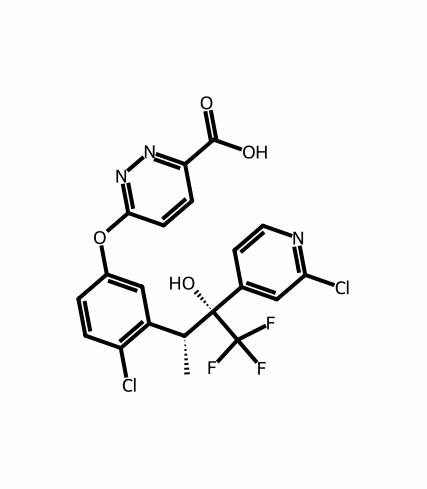 C[C@H](c1cc(Oc2ccc(C(=O)O)nn2)ccc1Cl)[C@@](O)(c1ccnc(Cl)c1)C(F)(F)F